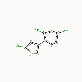 Fc1cc(Cl)ccc1-c1[c]sc(Cl)c1